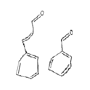 O=CC=Cc1ccccc1.O=Cc1ccccc1